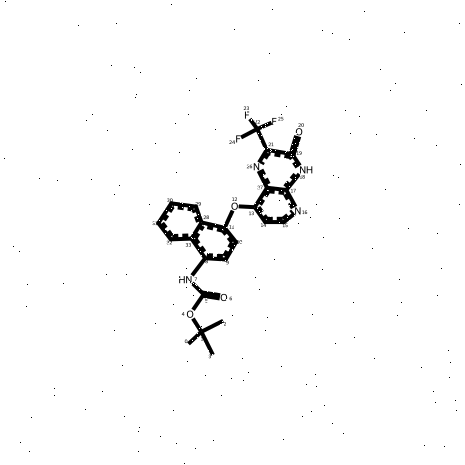 CC(C)(C)OC(=O)Nc1ccc(Oc2ccnc3[nH]c(=O)c(C(F)(F)F)nc23)c2ccccc12